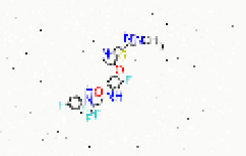 Cn1cnc(-c2cc3nccc(Oc4ccc(NC(=O)CC(Nc5ccc(F)cc5)C(F)(F)F)cc4F)c3s2)c1